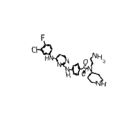 NCCN(C1CCNCC1)S(=O)(=O)c1ccc(Nc2nccc(Nc3ccc(F)c(Cl)c3)n2)cc1